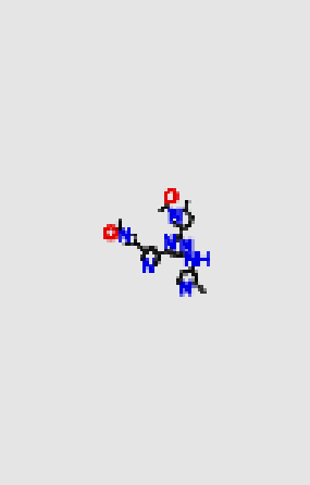 CC(=O)N1CC(c2cncc(-c3cc(Nc4ccnc(C)c4)nc([C@@H]4CC[C@H](C)N(C(C)=O)C4)n3)c2)C1